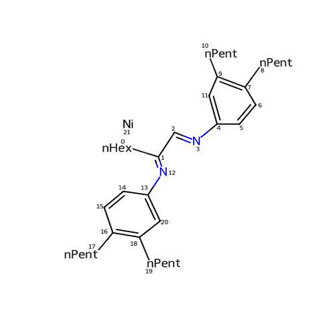 CCCCCCC(C=Nc1ccc(CCCCC)c(CCCCC)c1)=Nc1ccc(CCCCC)c(CCCCC)c1.[Ni]